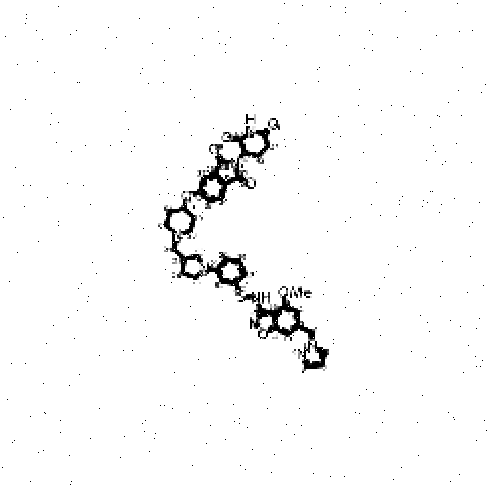 COc1cc(Cn2cccn2)cc2onc(NSc3cccc(N4CCC(CN5CCC(Oc6ccc7c(c6)C(=O)N(C6CCC(=O)NC6=O)C7=O)CC5)C4)c3)c12